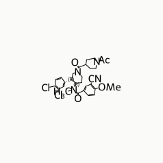 COc1ccc(C(=O)N(C)[C@@H]2CCN(C(=O)C3CCN(C(C)=O)CC3)C[C@H]2c2ccc(Cl)c(Cl)c2)cc1C#N